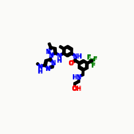 CNc1cc(-n2nc(C)cc2Nc2cc(NC(=O)c3cc(CNCCO)cc(C(F)(F)F)c3)ccc2C)ncn1